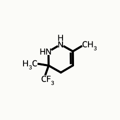 CC1=CCC(C)(C(F)(F)F)NN1